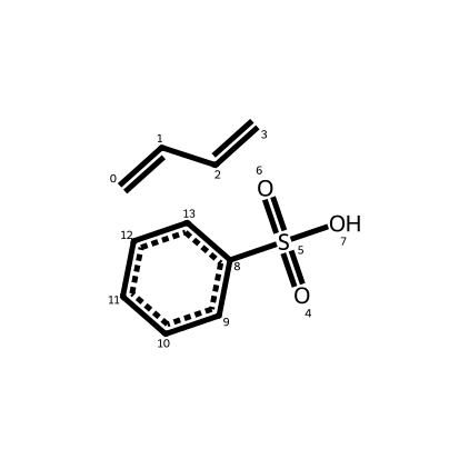 C=CC=C.O=S(=O)(O)c1ccccc1